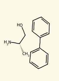 C[C@H](N)CO.c1ccc(-c2ccccc2)cc1